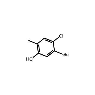 CCC(C)c1cc(O)c(C)cc1Cl